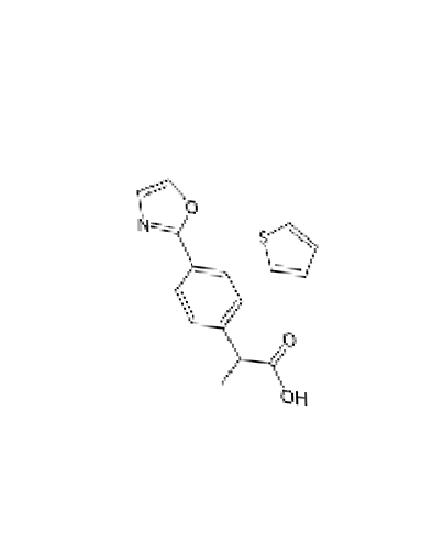 CC(C(=O)O)c1ccc(-c2ncco2)cc1.c1ccsc1